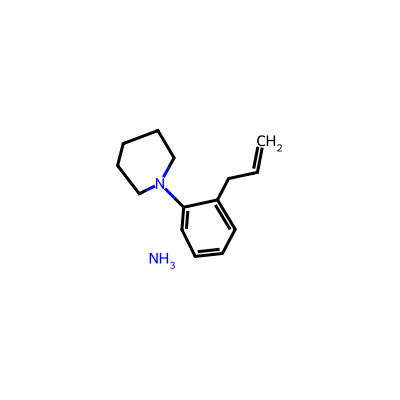 C=CCc1ccccc1N1CCCCC1.N